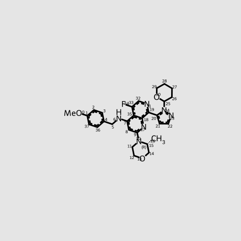 COc1ccc(CNc2cc(N3CCOC[C@H]3C)nc3c(-c4ccnn4C4CCCCO4)ncc(F)c23)cc1